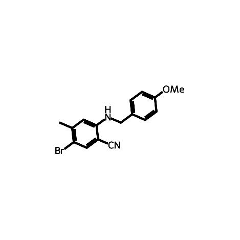 COc1ccc(CNc2cc(C)c(Br)cc2C#N)cc1